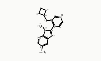 Cc1cnc2c(c1)nc(-c1ccncc1SC1CCC1)n2C